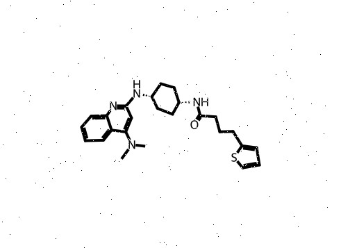 CN(C)c1cc(N[C@H]2CC[C@@H](NC(=O)CCCc3cccs3)CC2)nc2ccccc12